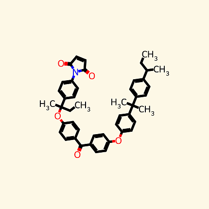 CCC(C)c1ccc(C(C)(C)c2ccc(Oc3ccc(C(=O)c4ccc(OC(C)(CC)c5ccc(N6C(=O)C=CC6=O)cc5)cc4)cc3)cc2)cc1